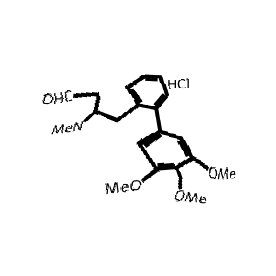 CNC(CC=O)Cc1ccccc1-c1cc(OC)c(OC)c(OC)c1.Cl